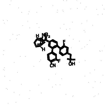 CC(C)(O)Cc1ccc(-c2ccc(C(=O)N3[C@@H]4CC[C@H]3[C@@H](N)C4)cc2-c2ccc(C#N)c(F)c2)c(F)c1